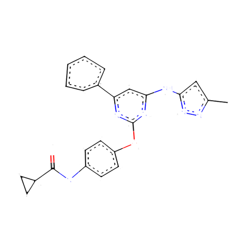 Cc1cc(Nc2cc(-c3ccccc3)nc(Oc3ccc(NC(=O)C4CC4)cc3)n2)n[nH]1